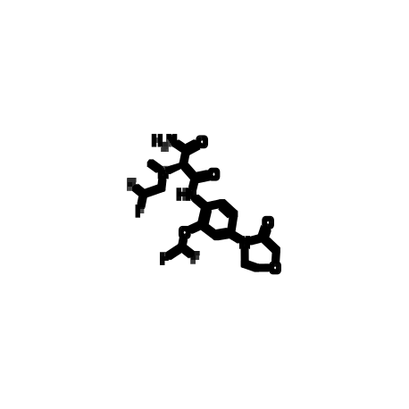 CN(CC(F)F)[C@@H](C(N)=O)C(=O)Nc1ccc(N2CCOCC2=O)cc1OC(F)F